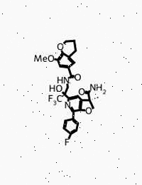 COc1cc(C(=O)NC[C@](O)(c2cc3c(c(-c4ccc(F)cc4)n2)OC[C@]3(C)C(N)=O)C(F)(F)F)cc2c1OCCC2